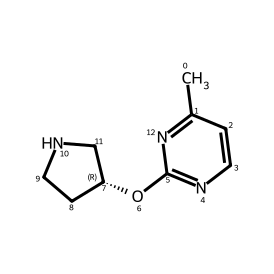 Cc1ccnc(O[C@@H]2CCNC2)n1